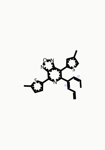 C=C/C=C(\C=C/C)c1nc(-c2ccc(C)s2)c2nonc2c1-c1cc(C)cs1